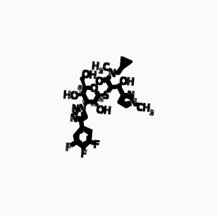 CN(CC1CC1)C(=O)C(S[C@@H]1O[C@H](CO)[C@H](O)[C@H](n2cc(-c3cc(F)c(F)c(F)c3)nn2)[C@H]1O)C(O)c1ccn(C)n1